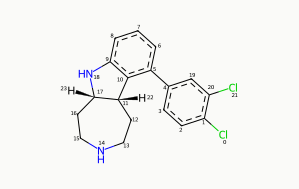 Clc1ccc(-c2cccc3c2[C@@H]2CCNCC[C@@H]2N3)cc1Cl